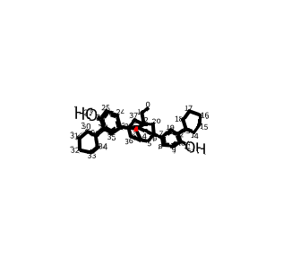 CCC12CC3CC(c4ccc(O)c(C5CCCCC5)c4)(C1)CC(c1ccc(O)c(C4CCCCC4)c1)(C3)C2